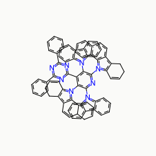 C1=CCC2C=Cc3c4c(n(-c5c(-n6c7ccccc7c7ccccc76)nc(-n6c7c(c8ccc9ccccc9c86)CCC=C7)c(-n6c7ccccc7c7ccccc76)c5-c5nc(-c6ccccc6)nc(-c6ccccc6)n5)c3C2=C1)C=CCC4